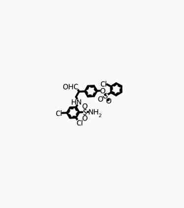 NS(=O)(=O)c1c(Cl)cc(Cl)cc1NCC(C=O)c1ccc(OS(=O)(=O)c2ccccc2Cl)cc1